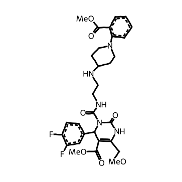 COCC1=C(C(=O)OC)C(c2ccc(F)c(F)c2)N(C(=O)NCCNC2CCN(c3ccccc3C(=O)OC)CC2)C(=O)N1